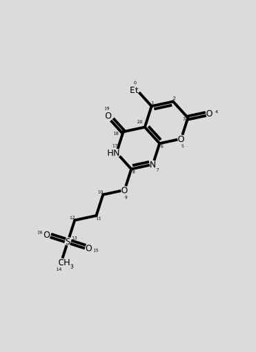 CCc1cc(=O)oc2nc(OCCCS(C)(=O)=O)[nH]c(=O)c12